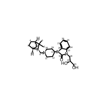 CC1(C)[C@H]2CC[C@H](C2)[C@@H]1CN1CCC(n2c(=O)n(C[C@H](O)CO)c3ccccc32)CC1